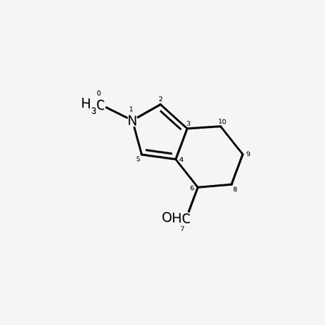 Cn1cc2c(c1)C(C=O)CCC2